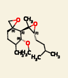 CO[C@@H]1C(C)CC[C@]2(CO2)[C@H]1C1(C)O[C@@H]1CCC(C)C